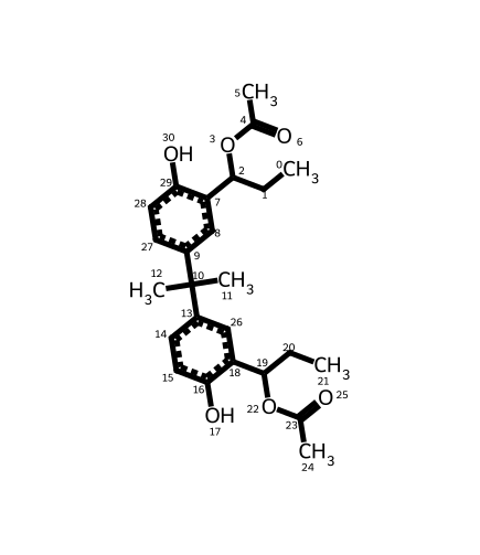 CCC(OC(C)=O)c1cc(C(C)(C)c2ccc(O)c(C(CC)OC(C)=O)c2)ccc1O